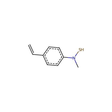 C=Cc1ccc(N(C)S)cc1